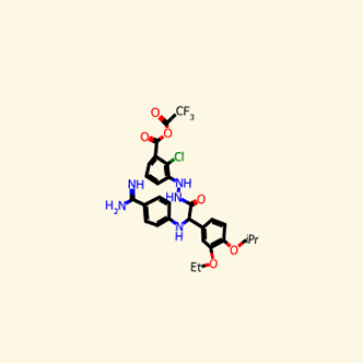 CCOc1cc(C(Nc2ccc(C(=N)N)cc2)C(=O)NNc2cccc(C(=O)OC(=O)C(F)(F)F)c2Cl)ccc1OC(C)C